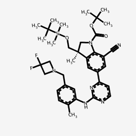 Cc1ccc(CN2CC(F)(F)C2)cc1Nc1nccc(-c2cc(C#N)c3c(c2)[C@@](C)(CO[Si](C)(C)C(C)(C)C)CN3C(=O)OC(C)(C)C)n1